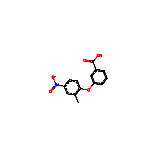 Cc1cc([N+](=O)[O-])ccc1Oc1cccc(C(=O)O)c1